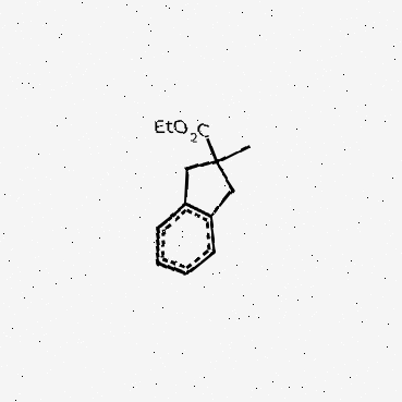 CCOC(=O)C1(C)Cc2ccccc2C1